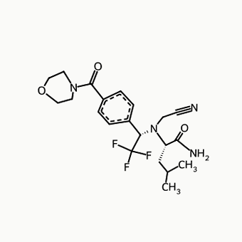 CC(C)C[C@@H](C(N)=O)N(CC#N)[C@@H](c1ccc(C(=O)N2CCOCC2)cc1)C(F)(F)F